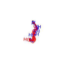 CCc1c2c(nc3ccc(O)cc13)/C(=C/C1=C(C=O)COC(=O)C1OC(=O)OCc1ccc(NC(=O)CNC(=O)COCC(=O)NCC(C)(C)OCC(C)(C)Cn3cc(CNC(=O)CCCC#Cc4cnc(SC)nc4)nn3)cc1)N(C)C2